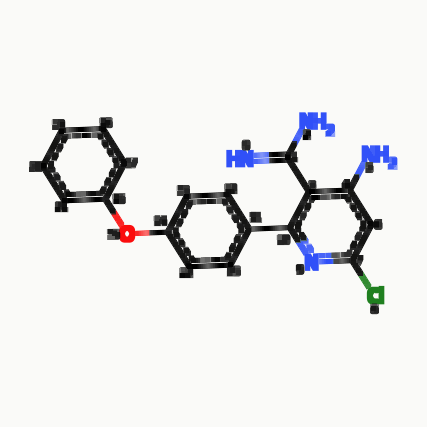 N=C(N)c1c(N)cc(Cl)nc1-c1ccc(Oc2ccccc2)cc1